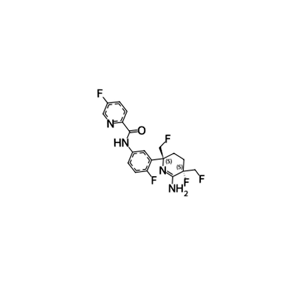 NC1=N[C@](CF)(c2cc(NC(=O)c3ccc(F)cn3)ccc2F)CC[C@@]1(F)CF